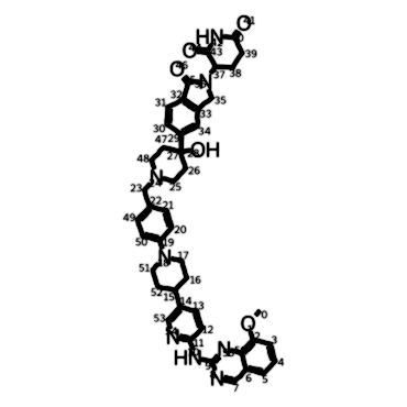 COc1cccc2cnc(Nc3ccc(C4CCN(c5ccc(CN6CCC(O)(c7ccc8c(c7)CN(C7CCC(=O)NC7=O)C8=O)CC6)cc5)CC4)cn3)nc12